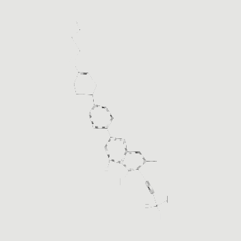 CCCCOC1=CCC(c2ccc(-c3cc(F)c4c(F)c(C#CC(F)(F)F)c(F)cc4c3)cc2)CC1